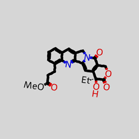 CC[C@@]1(O)C(=O)OCc2c1cc1n(c2=O)Cc2cc3cccc(CCC(=O)OC)c3nc2-1